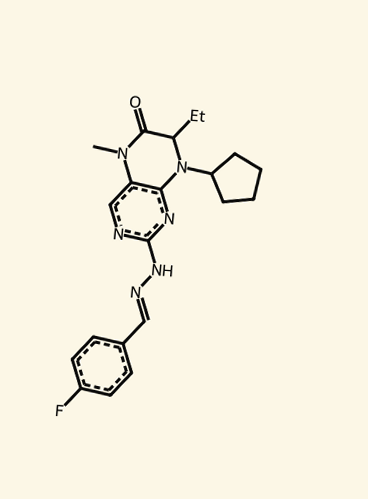 CCC1C(=O)N(C)c2cnc(NN=Cc3ccc(F)cc3)nc2N1C1CCCC1